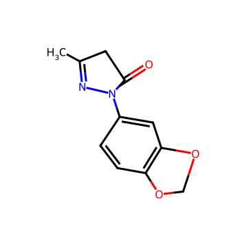 CC1=NN(c2ccc3c(c2)OCO3)C(=O)C1